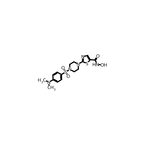 CN(C)c1ccc(S(=O)(=O)N2CCN(c3ncc(C(=O)NO)s3)CC2)cc1